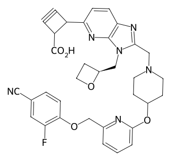 N#Cc1ccc(OCc2cccc(OC3CCN(Cc4nc5ccc(C6C#CC6C(=O)O)nc5n4C[C@@H]4CCO4)CC3)n2)c(F)c1